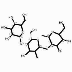 CC1C(O)[C@H](O[C@@H]2OC(CO)[C@H](O)C(O)[C@@H]2O)[C@H](CO)O[C@H]1O[C@@H]1C(O)[C@H](O)C(CO)O[C@@H]1C